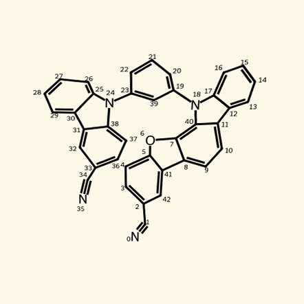 N#Cc1ccc2oc3c(ccc4c5ccccc5n(-c5cccc(-n6c7ccccc7c7cc(C#N)ccc76)c5)c43)c2c1